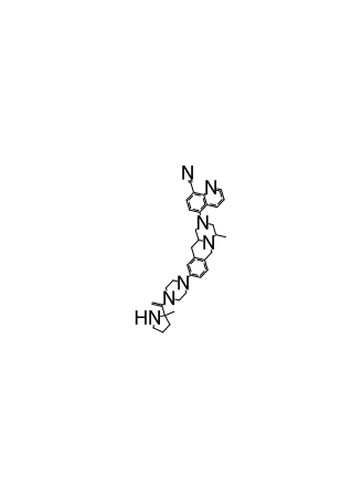 C=C(N1CCN(c2ccc3c(c2)CC2CN(c4ccc(C#N)c5ncccc45)CC(C)N2C3)CC1)C1(C)CCCN1